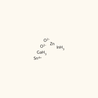 [GaH3].[InH3].[O-2].[O-2].[Sn+4].[Zn]